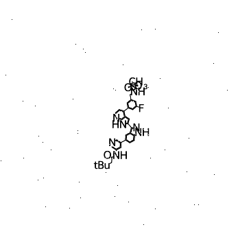 CC(C)(C)CC(=O)Nc1cncc(-c2ccc3[nH]nc(-c4cc5c(-c6cc(F)cc(CNS(C)(=O)=O)c6)ccnc5[nH]4)c3c2)c1